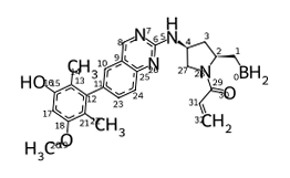 BC[C@@H]1C[C@H](Nc2ncc3cc(-c4c(C)c(O)cc(OC)c4C)ccc3n2)CN1C(=O)C=C